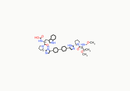 COCN[C@H](C(=O)N1CCC[C@H]1c1ncc(-c2ccc(-c3ccc(-c4cnc([C@@H]5CCCN5C(=O)[C@H](Cc5c[nH]c6ccccc56)NC(=O)O)[nH]4)cc3)cc2)[nH]1)[C@@H](C)OC